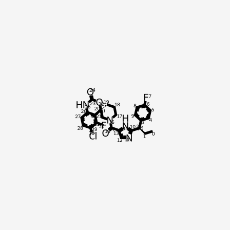 CC[C@H](c1ccc(F)cc1)c1ncc(C(=O)N2CCC[C@@]3(C2)OC(=O)Nc2ccc(Cl)c(F)c23)[nH]1